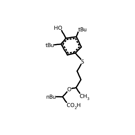 CCCCC(OC(C)CCSc1cc(C(C)(C)C)c(O)c(C(C)(C)C)c1)C(=O)O